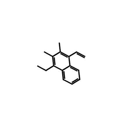 C=Cc1c(C)c(C)c(CC)c2ccccc12